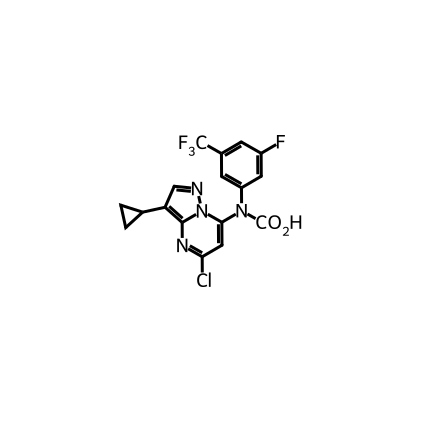 O=C(O)N(c1cc(F)cc(C(F)(F)F)c1)c1cc(Cl)nc2c(C3CC3)cnn12